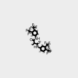 CC(C(=O)Nc1ccc(C(F)(F)F)c(C(F)(F)F)c1)C(=S)Nc1ccc(C(F)(F)F)c(C(F)(F)F)c1